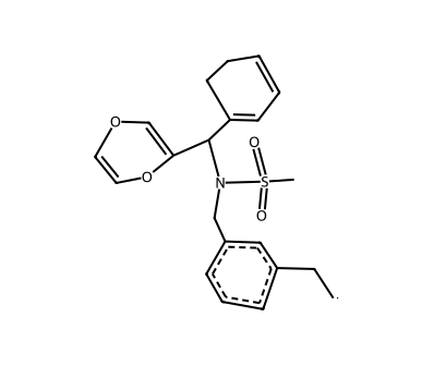 [CH2]Cc1cccc(CN(C(C2=CC=CCC2)C2=COC=CO2)S(C)(=O)=O)c1